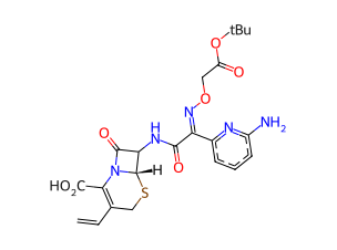 C=CC1=C(C(=O)O)N2C(=O)C(NC(=O)C(=NOCC(=O)OC(C)(C)C)c3cccc(N)n3)[C@@H]2SC1